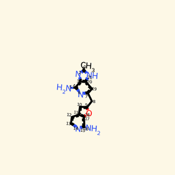 Cc1nc2c(N)nc(Cc3cc4ccnc(N)c4o3)cc2[nH]1